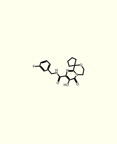 O=C(NCc1cccc(F)c1)c1nc2n(c(=O)c1O)CCOC21CCCC1